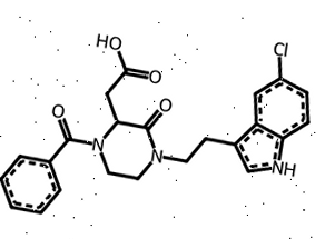 O=C(O)CC1C(=O)N(CCc2c[nH]c3ccc(Cl)cc23)CCN1C(=O)c1ccccc1